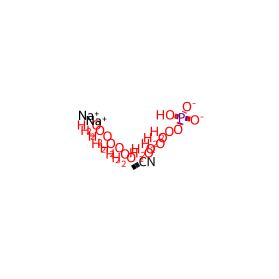 CC#N.O.O.O.O.O.O.O.O.O.O.O.O.O=P([O-])([O-])O.[Na+].[Na+]